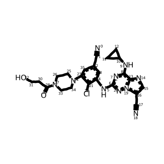 N#Cc1cc(Nc2nc(NC3CC3)c3ncc(C#N)n3n2)c(Cl)c(N2CCN(C(=O)CCO)CC2)c1